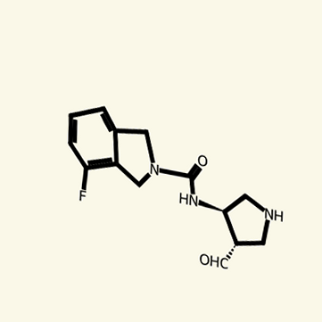 O=C[C@H]1CNC[C@@H]1NC(=O)N1Cc2cccc(F)c2C1